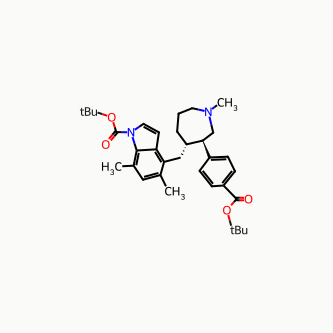 Cc1cc(C)c2c(ccn2C(=O)OC(C)(C)C)c1C[C@@H]1CCCN(C)C[C@H]1c1ccc(C(=O)OC(C)(C)C)cc1